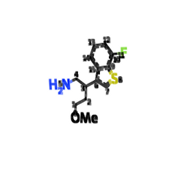 COCCC(CN)c1csc2c(F)cccc12